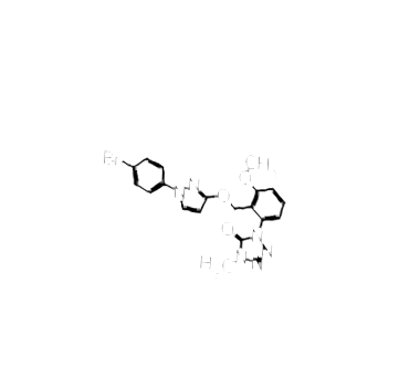 COc1cccc(-n2nnn(C)c2=O)c1COc1ccn(-c2ccc(Br)cc2)n1